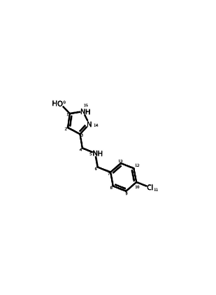 Oc1cc(CNCc2ccc(Cl)cc2)n[nH]1